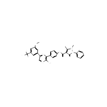 COc1cc(-c2cnc(N)c(-c3ccc(NC(=O)c4c(C)n(C)n(-c5ccccc5)c4=O)cc3)n2)cc(C(F)(F)F)c1